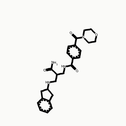 NC(=O)C(CNC(=O)c1ccc(C(=O)N2CCOCC2)cc1)CNC1Cc2ccccc2C1